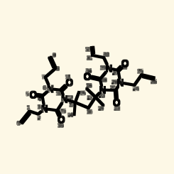 C=CCn1c(=O)n(CC=C)c(=O)n(C(C)(C)CC(C)(C)n2c(=O)n(CC=C)c(=O)n(CC=C)c2=O)c1=O